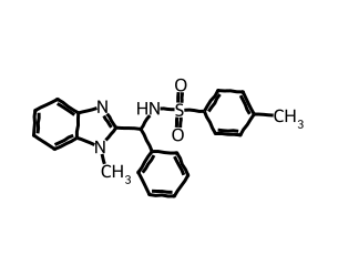 Cc1ccc(S(=O)(=O)NC(c2ccccc2)c2nc3ccccc3n2C)cc1